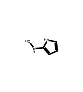 ONc1ccc[nH]1